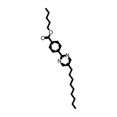 CCCCCCCCCc1cnc(-c2ccc(C(=O)OCCCCC)cc2)nc1